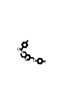 Cc1ccc(C(=O)N2CCc3ncc(COc4ccc(F)cc4)cc3C2)cc1